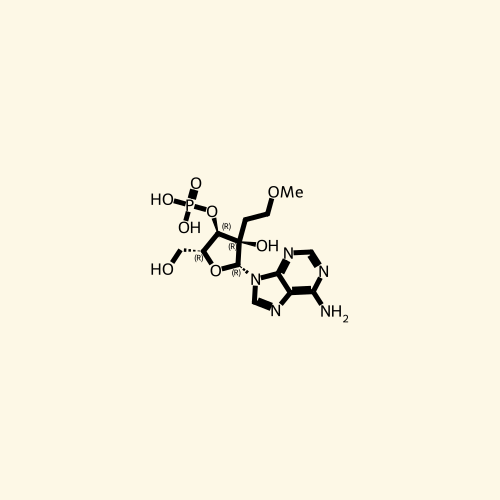 COCC[C@@]1(O)[C@H](OP(=O)(O)O)[C@@H](CO)O[C@H]1n1cnc2c(N)ncnc21